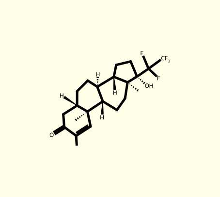 CC1=C[C@@]2(C)[C@@H](CC[C@@H]3[C@@H]2CC[C@@]2(C)[C@H]3CC[C@@]2(O)C(F)(F)C(F)(F)F)CC1=O